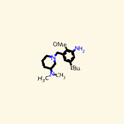 COc1c(N)cc(C(C)(C)C)cc1CN1CCCC(N(C)C)C1